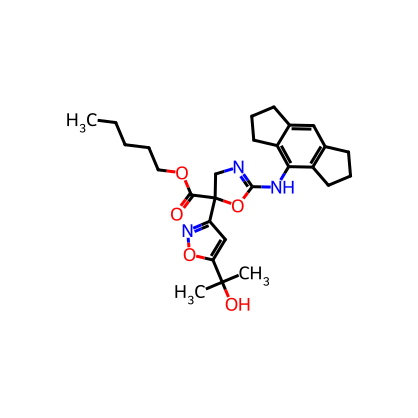 CCCCCOC(=O)C1(c2cc(C(C)(C)O)on2)CN=C(Nc2c3c(cc4c2CCC4)CCC3)O1